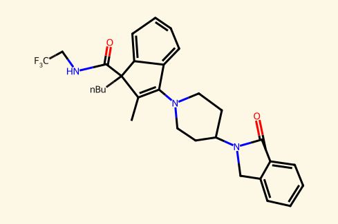 CCCCC1(C(=O)NCC(F)(F)F)C(C)=C(N2CCC(N3Cc4ccccc4C3=O)CC2)c2ccccc21